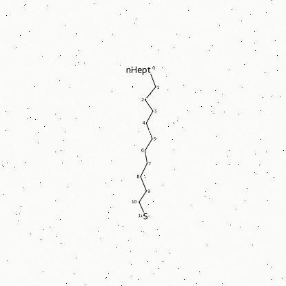 CCCCCCCCCCCCCCCCC[S]